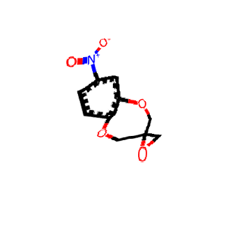 O=[N+]([O-])c1ccc2c(c1)OCC1(CO2)CO1